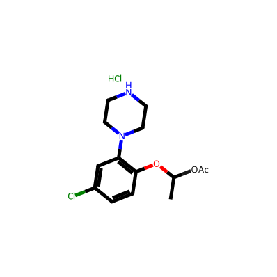 CC(=O)OC(C)Oc1ccc(Cl)cc1N1CCNCC1.Cl